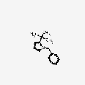 CC(C)(C)c1cccn1Cc1ccccc1